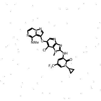 CNc1nccn2ncc(Oc3cnc4nc(Nc5cc(C(F)(F)F)cn(C6CC6)c5=O)n(C)c4c3Cl)c12